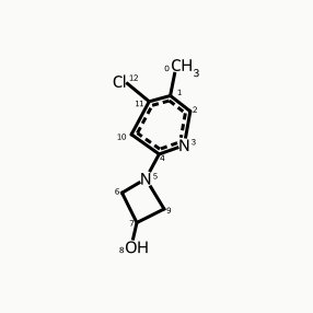 Cc1cnc(N2CC(O)C2)cc1Cl